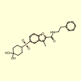 Cc1c(C(=O)NCCc2ccccc2)oc2ccc(S(=O)(=O)N3CCC(O)(O)CC3)cc12